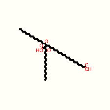 CCCCCCCCCCCCCC(=O)C(CCCCCCCCCCCCCCCCCCC(=O)O)=C(C(=O)O)C(=O)CCCCCCCCCCCCC